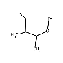 CCOC(C)C(C)CI